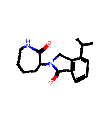 CC(C)c1cccc2c1CN(C1CCCCNC1=O)C2=O